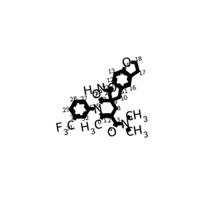 CC1=C(C(=O)N(C)C)CC(Cc2ccc3c(c2)CCO3)(C(N)=O)C(=O)N1c1cccc(C(F)(F)F)c1